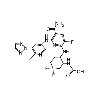 Cc1ncc(Nc2nc(NC3CCC(F)(F)CC3NC(=O)O)c(F)cc2C(N)=O)cc1-n1nccn1